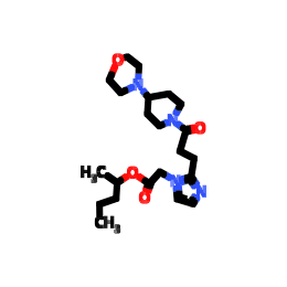 CCCC(C)OC(=O)Cn1ccnc1CCC(=O)N1CCC(N2CCOCC2)CC1